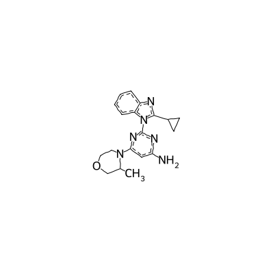 CC1COCCN1c1cc(N)nc(-n2c(C3CC3)nc3ccccc32)n1